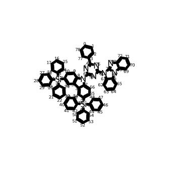 c1ccc(-c2nc(-n3c4ccc([Si](c5ccccc5)(c5ccccc5)c5ccccc5)cc4c4cc([Si](c5ccccc5)(c5ccccc5)c5ccccc5)ccc43)nc(-n3c4ccccc4n4c5ccccc5nc34)n2)cc1